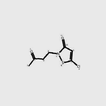 CC(=O)CCn1sc(Cl)cc1=O